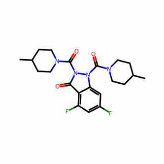 CC1CCN(C(=O)n2c(=O)c3c(F)cc(F)cc3n2C(=O)N2CCC(C)CC2)CC1